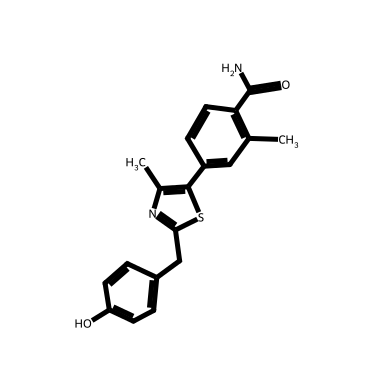 Cc1cc(-c2sc(Cc3ccc(O)cc3)nc2C)ccc1C(N)=O